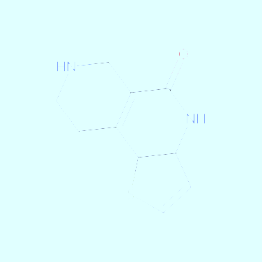 O=C1NC2C=CSC2C2=C1CNCC2